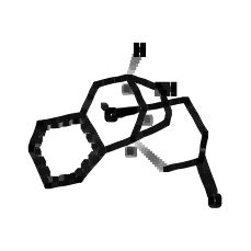 CO[C@@]12CCC(=O)C[C@@]13CCN[C@@H]2Cc1ccccc13